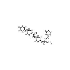 N[C@]1(CCc2ccccc2)C[C@H]1c1ccc(NC(=O)c2ccc(-c3ccccc3)cc2)cc1